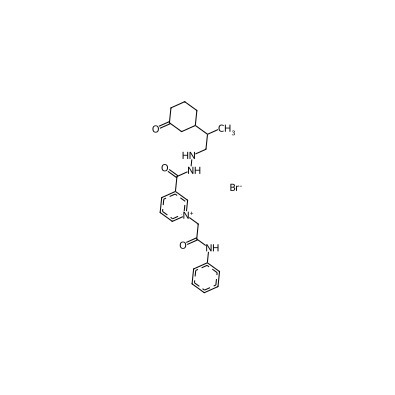 CC(CNNC(=O)c1ccc[n+](CC(=O)Nc2ccccc2)c1)C1CCCC(=O)C1.[Br-]